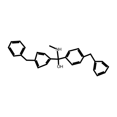 CNC(O)(c1ccc(Cc2ccccc2)cc1)c1ccc(Cc2ccccc2)cc1